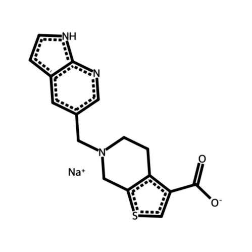 O=C([O-])c1csc2c1CCN(Cc1cnc3[nH]ccc3c1)C2.[Na+]